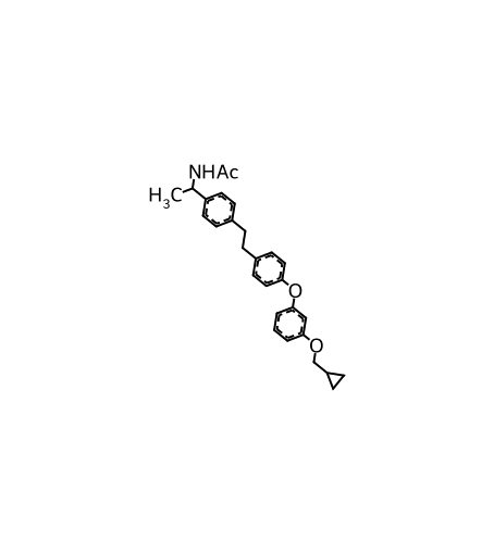 CC(=O)NC(C)c1ccc(CCc2ccc(Oc3cccc(OCC4CC4)c3)cc2)cc1